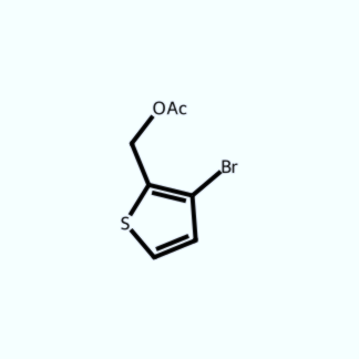 CC(=O)OCc1sccc1Br